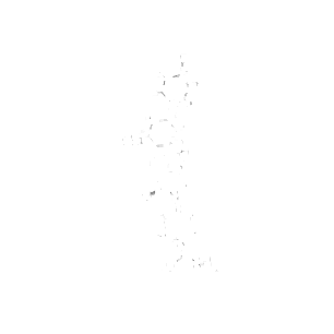 NC(=O)N1CCC(N2CC[C@@H](Cc3c(Cl)cc(-c4ccc(F)cc4)cc3Cl)C2=O)CC1